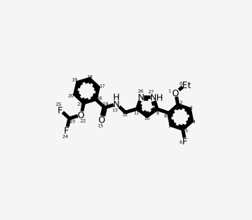 CCOc1ccc(F)cc1-c1cc(CNC(=O)c2ccccc2OC(F)F)n[nH]1